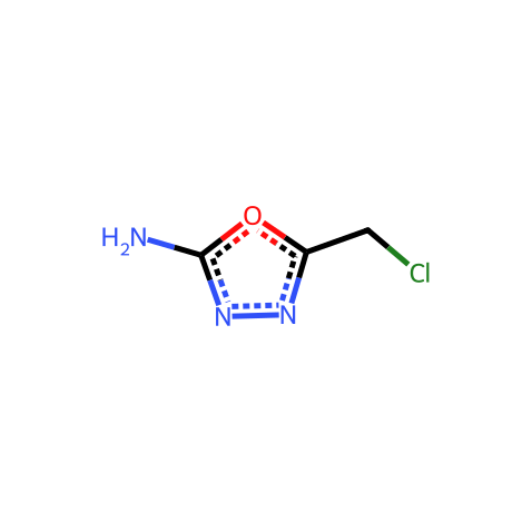 Nc1nnc(CCl)o1